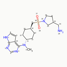 CN(c1ncnc2[nH]ccc12)[C@H]1CC[C@H](CS(=O)(=O)N2CCC(CN)C2)CC1